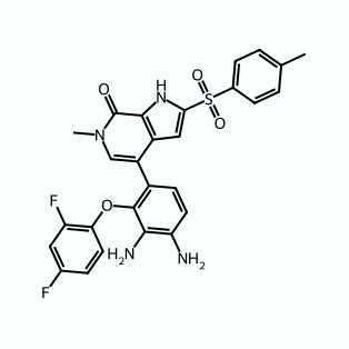 Cc1ccc(S(=O)(=O)c2cc3c(-c4ccc(N)c(N)c4Oc4ccc(F)cc4F)cn(C)c(=O)c3[nH]2)cc1